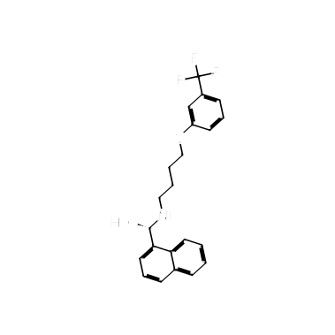 C[C@@H](NCCCCSc1cccc(C(F)(F)F)c1)c1cccc2ccccc12